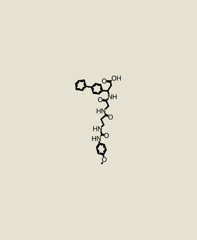 COc1ccc(NC(=O)NCCC(=O)NCC(=O)NC(CC(=O)O)c2ccc(-c3ccccc3)cc2)cc1